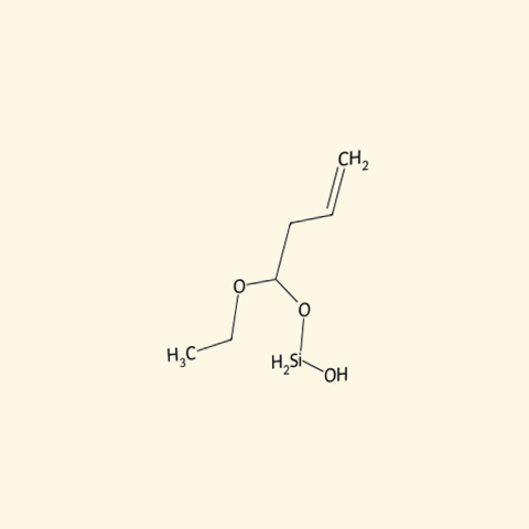 C=CCC(OCC)O[SiH2]O